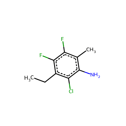 CCc1c(F)c(F)c(C)c(N)c1Cl